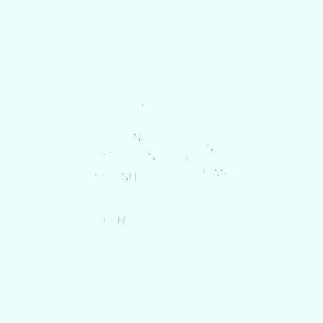 CCC(NC(=O)CCC(=O)O)c1nc2cc(C(=O)N(C)C(=O)OC)ccc2n1Cc1ccco1